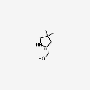 CC1(C)CN[C@@H](CO)C1